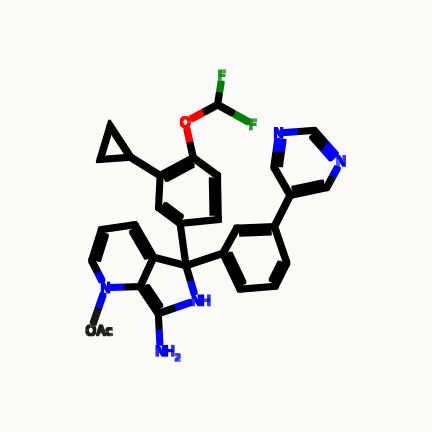 CC(=O)ON1C=CC=C2C1=C(N)NC2(c1cccc(-c2cncnc2)c1)c1ccc(OC(F)F)c(C2CC2)c1